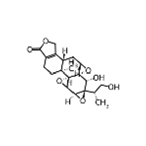 C[C@@H](CO)[C@]12O[C@H]1[C@@H]1O[C@]13[C@]1(O[C@H]1C[C@H]1C4=C(CC[C@@]13C)C(=O)OC4)[C@@H]2O